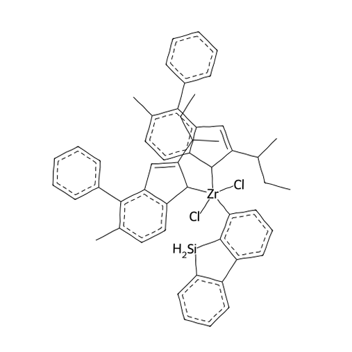 CCC(C)C1=Cc2c(ccc(C)c2-c2ccccc2)[CH]1[Zr]([Cl])([Cl])([c]1cccc2c1[SiH2]c1ccccc1-2)[CH]1C(C(C)CC)=Cc2c1ccc(C)c2-c1ccccc1